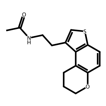 CC(=O)NCCc1csc2ccc3c(c12)CCCO3